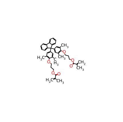 C=C(C)C(=O)OCCCOc1c(C)cc(C2(c3cc(C)c(OCCCOC(=O)C(=C)C)c(C)c3)c3ccccc3-c3ccccc32)cc1C